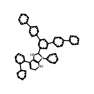 C1=C(c2ccccc2-c2ccccc2)C2=C(NC1)N(c1ccccc1)C(c1cc(-c3ccc(-c4ccccc4)cc3)cc(-c3ccc(-c4ccccc4)cc3)c1)N2